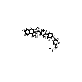 COc1ccc(OC2CCN(c3nnc(C(=O)NC4=CCc5cc(F)ccc5C4C=O)cc3C)CC2)cn1